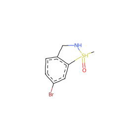 C[SH]1(=O)NCc2ccc(Br)cc21